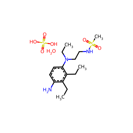 CCc1c(N)ccc(N(CC)CCNS(C)(=O)=O)c1CC.O.O=S(=O)(O)O